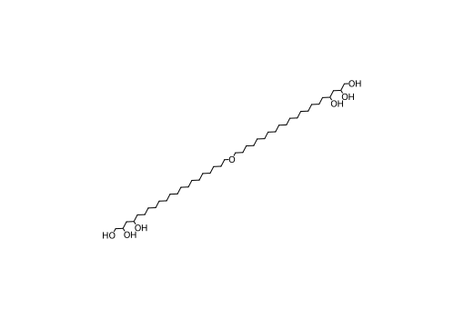 OCC(O)CC(O)CCCCCCCCCCCCCCCCCOCCCCCCCCCCCCCCCCCC(O)CC(O)CO